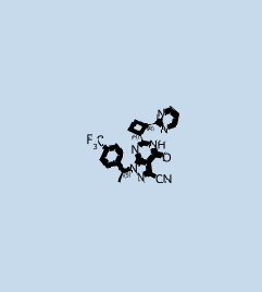 C[C@@H](c1ccc(C(F)(F)F)cc1)n1nc(C#N)c2c(=O)[nH]c([C@@H]3CC[C@H]3c3ncccn3)nc21